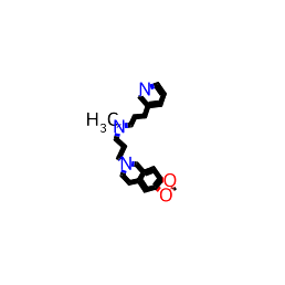 CN(CCCc1cccnc1)CCCN1CCc2cc3c(cc2C1)OCO3